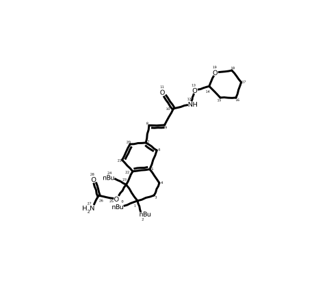 CCCCC1(CCCC)CCc2cc(C=CC(=O)NOC3CCCCO3)ccc2C1(CCCC)OC(N)=O